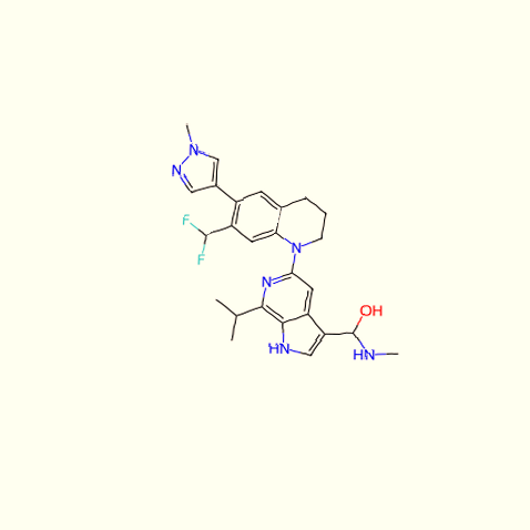 CNC(O)c1c[nH]c2c(C(C)C)nc(N3CCCc4cc(-c5cnn(C)c5)c(C(F)F)cc43)cc12